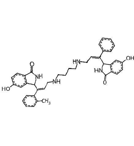 Cc1ccccc1/C(=C/CNCCCCNC/C=C(/c1ccccc1)C1NC(=O)c2ccc(O)cc21)C1NC(=O)c2ccc(O)cc21